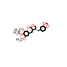 COc1cc(/C=C2\C(=O)OC[C@@H]2Cc2ccc3c(c2)OCO3)cc(OC)c1OC